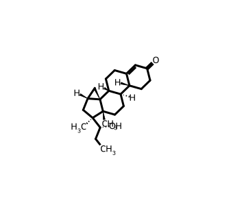 CC[C@@H](O)[C@@]1(C)C[C@@H]2C[C@]23[C@@H]2CCC4=CC(=O)CC[C@@H]4[C@H]2CC[C@@]31C